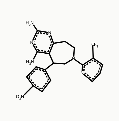 Nc1nc(N)c2c(n1)CCN(c1ncccc1C(F)(F)F)CC2c1ccc([N+](=O)[O-])cc1